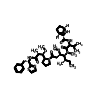 CC[C@H](C)[C@@H]([C@@H](CC(=O)N1CCCC1[C@H](OC)[C@@H](C)C(=O)N[C@@H](Cc1ccccc1)c1nccs1)OC)N(C)C(=O)C(NC(=O)[C@H]1N[C@@H]2CC[C@H]1C2)C(C)C